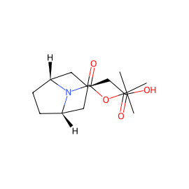 CC(C)(C)OC(=O)N1[C@@H]2CC[C@H]1C[C@H](CC(=O)O)C2